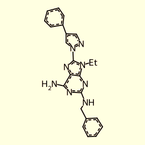 CCn1c(-n2cc(-c3ccccc3)cn2)nc2c(N)nc(NCc3ccccc3)nc21